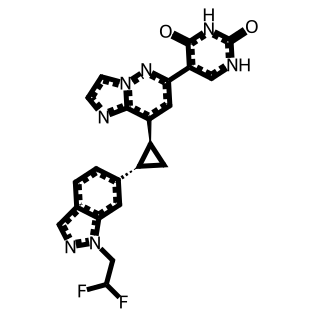 O=c1[nH]cc(-c2cc([C@H]3C[C@@H]3c3ccc4cnn(CC(F)F)c4c3)c3nccn3n2)c(=O)[nH]1